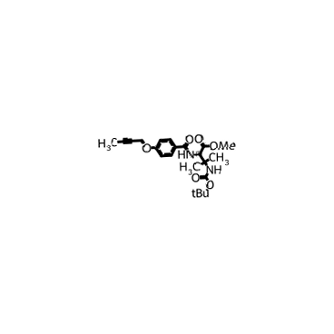 CC#CCOc1ccc(C(=O)N[C@@H](C(=O)OC)C(C)(C)NC(=O)OC(C)(C)C)cc1